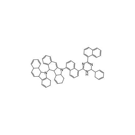 C1=CCC(C2N=C(c3cccc4ccccc34)N=C(c3cccc4c(N5C6=Cc7ccccc7C(N7C8=C(C=CCC8)C8C=CC9C=CC=CC9C87)C6C6C=CCCC65)cccc34)N2)C=C1